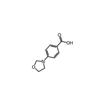 O=C(O)c1ccc(N2CCOC2)cc1